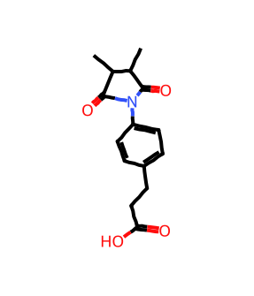 CC1C(=O)N(c2ccc(CCC(=O)O)cc2)C(=O)C1C